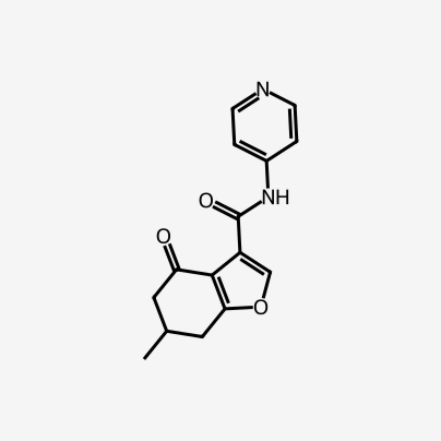 CC1CC(=O)c2c(C(=O)Nc3ccncc3)coc2C1